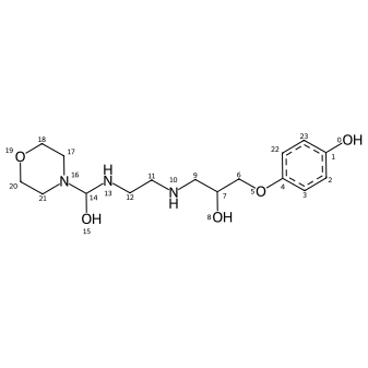 Oc1ccc(OCC(O)CNCCNC(O)N2CCOCC2)cc1